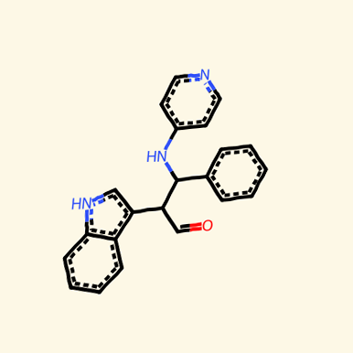 O=CC(c1c[nH]c2ccccc12)C(Nc1ccncc1)c1ccccc1